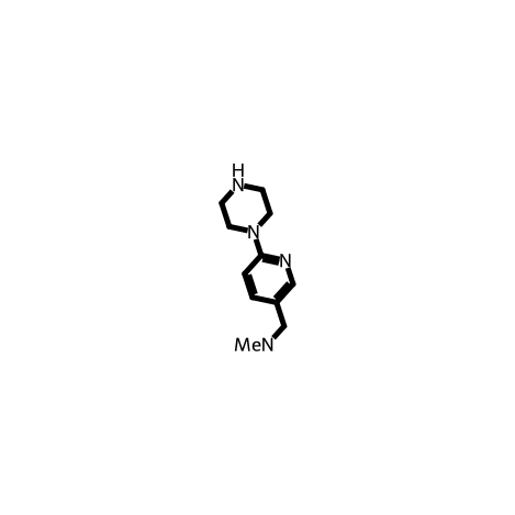 CNCc1ccc(N2CCNCC2)nc1